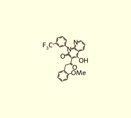 COc1ccccc1CC(=O)c1c(O)c2cccnc2n(-c2cccc(C(F)(F)F)c2)c1=O